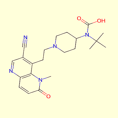 Cn1c(=O)ccc2ncc(C#N)c(CCN3CCC(N(C(=O)O)C(C)(C)C)CC3)c21